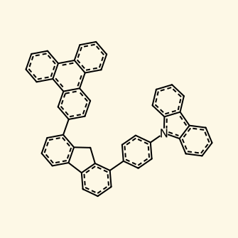 c1cc(-c2ccc(-n3c4ccccc4c4ccccc43)cc2)c2c(c1)-c1cccc(-c3ccc4c5ccccc5c5ccccc5c4c3)c1C2